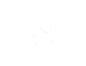 CCCN(C)C(=O)[C@H]1C[C@H](Nc2nc(-c3ccccc3O)nc3ccccc23)CN1